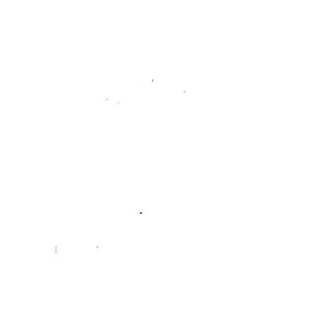 C=C(C)CC(O)(c1cc(C)c(/N=C/N(C)C(C)C)cc1OC)C(F)(F)F